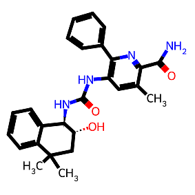 Cc1cc(NC(=O)N[C@@H]2c3ccccc3C(C)(C)C[C@H]2O)c(-c2ccccc2)nc1C(N)=O